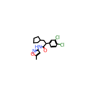 Cc1cc(NC(=O)C(CC2CCCC2)c2ccc(Cl)c(Cl)c2)no1